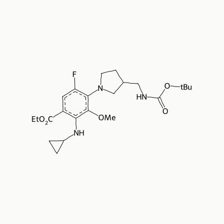 CCOC(=O)c1cc(F)c(N2CCC(CNC(=O)OC(C)(C)C)C2)c(OC)c1NC1CC1